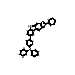 c1ccc(-c2nc3cc4[nH]c5ccc(-c6ccc(N(c7ccccc7)c7ccccc7)cc6)cc5c4cc3s2)cc1